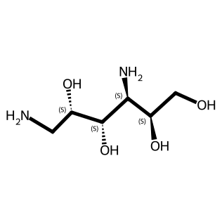 NC[C@H](O)[C@@H](O)[C@@H](N)[C@H](O)CO